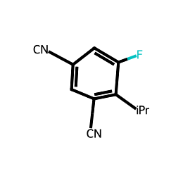 [C-]#[N+]c1cc(F)c(C(C)C)c(C#N)c1